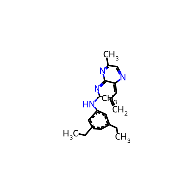 C=C/C=C1/N=CC(C)=N/C1=N/C(C)Nc1cc(CC)cc(CC)c1